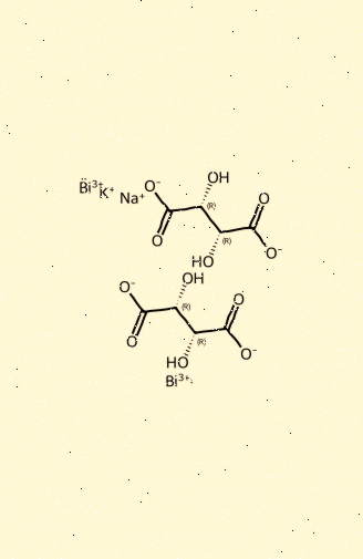 O=C([O-])[C@H](O)[C@@H](O)C(=O)[O-].O=C([O-])[C@H](O)[C@@H](O)C(=O)[O-].[Bi+3].[Bi+3].[K+].[Na+]